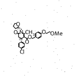 COCCOc1ccc(COC(=O)C2=C(C)N(C[C@@H]3CCCO3)C(=O)C[C@H]2c2ccc(Cl)cc2)cc1